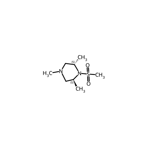 C[C@H]1CN(C)C[C@H](C)N1S(C)(=O)=O